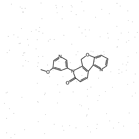 COc1cncc(-n2c3c(ccc2=O)-c2ncccc2OC3)c1